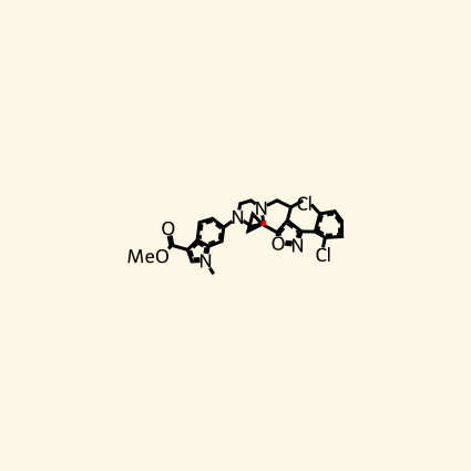 COC(=O)c1cn(C)c2cc(N3CCN(CC(C)c4c(-c5c(Cl)cccc5Cl)noc4C4CC4)CC3)ccc12